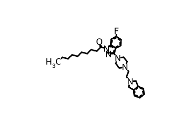 CCCCCCCCCC(=O)n1nc(N2CCN(CCN3Cc4ccccc4C3)CC2)c2ccc(F)cc21